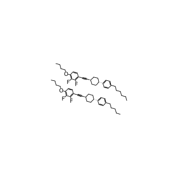 CCCCCCc1ccc([C@H]2CC[C@H](C#Cc3ccc(OCCCC)c(F)c3F)CC2)cc1.CCCCCc1ccc([C@H]2CC[C@H](C#Cc3ccc(OCCCC)c(F)c3F)CC2)cc1